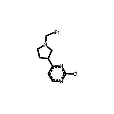 C[C](C)CN1CCC(c2ccnc(Cl)n2)C1